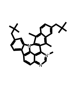 Cc1c2cc(CC(C)(C)C)ccc2c(C)c2c1c1c3c(ccc4c5ccc(CC(C)(C)C)cc5n2c43)nc[n+]1C